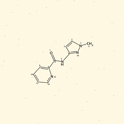 Cn1ccc(NC(=O)c2ccccn2)n1